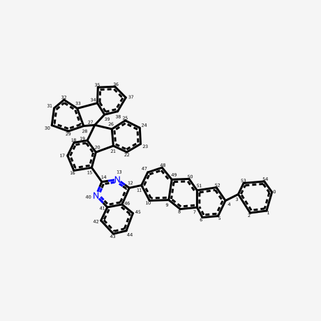 c1ccc(-c2ccc3cc4cc(-c5nc(-c6cccc7c6-c6ccccc6C76c7ccccc7-c7ccccc76)nc6ccccc56)ccc4cc3c2)cc1